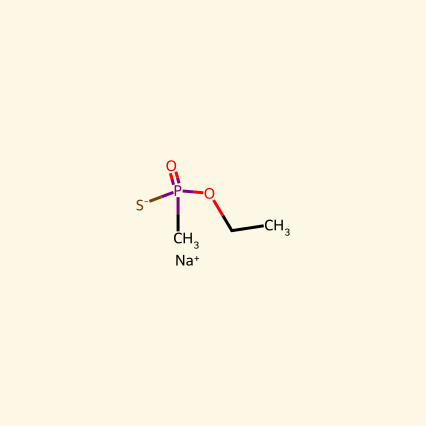 CCOP(C)(=O)[S-].[Na+]